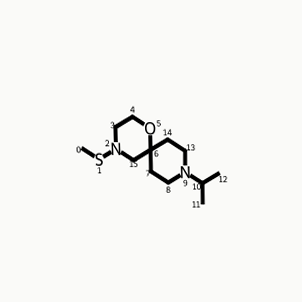 CSN1CCOC2(CCN(C(C)C)CC2)C1